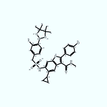 CNC(=O)c1c(-c2ccc(Cl)cc2)oc2cc(NS(=O)(=O)Cc3ccc(B4OC(C)(C)C(C)(C)O4)c(F)c3)c(C3CC3)cc12